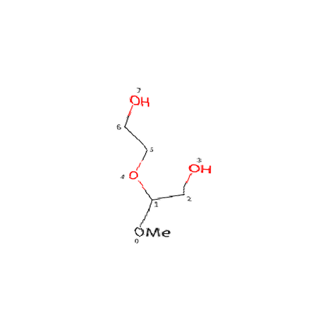 COC(CO)OCCO